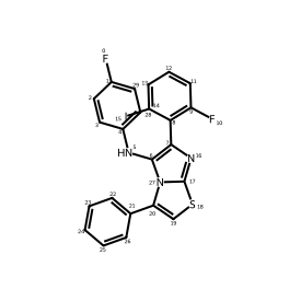 Fc1ccc(Nc2c(-c3c(F)cccc3I)nc3scc(-c4ccccc4)n23)cc1